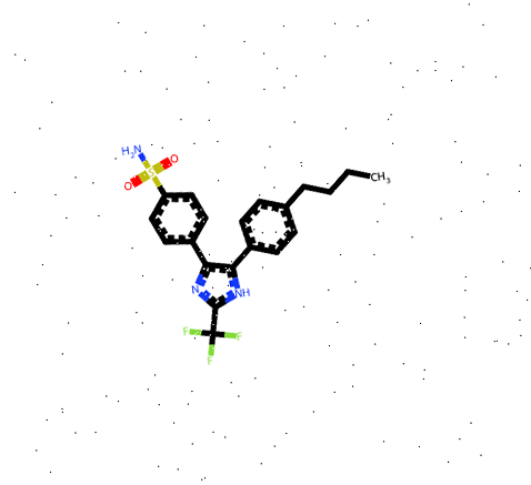 CCCCc1ccc(-c2[nH]c(C(F)(F)F)nc2-c2ccc(S(N)(=O)=O)cc2)cc1